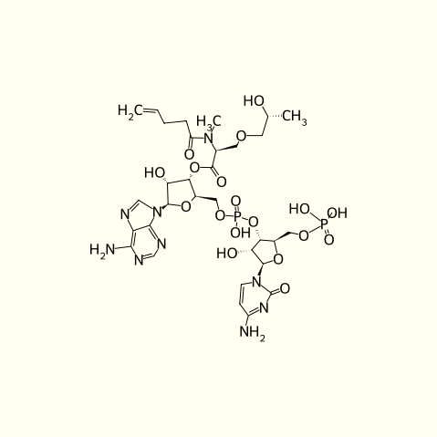 C=CCCC(=O)N(C)[C@@H](COC[C@@H](C)O)C(=O)O[C@H]1[C@@H](O)[C@H](n2cnc3c(N)ncnc32)O[C@@H]1COP(=O)(O)O[C@H]1[C@@H](O)[C@H](n2ccc(N)nc2=O)O[C@@H]1COP(=O)(O)O